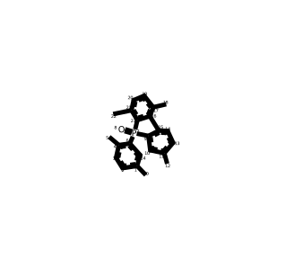 Cc1ccc(C)c(P2(=O)c3cc(C)ccc3-c3c(C)ccc(C)c32)c1